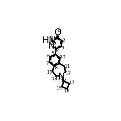 O=c1ccc(-c2ccc3c(c2)CCN(C2CCC2)CC3)n[nH]1